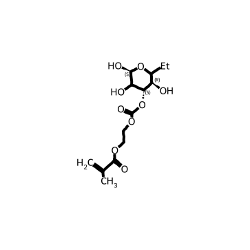 C=C(C)C(=O)OCCOC(=O)O[C@@H]1C(O)[C@@H](O)OC(CC)[C@H]1O